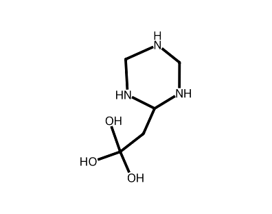 OC(O)(O)CC1NCNCN1